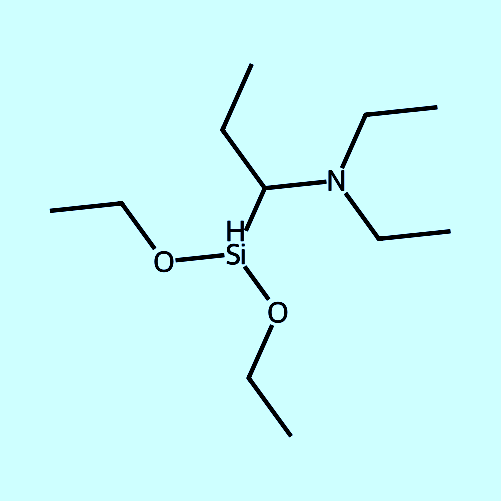 CCO[SiH](OCC)C(CC)N(CC)CC